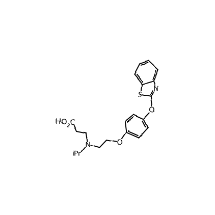 CC(C)N(CCOc1ccc(Oc2nc3ccccc3s2)cc1)CCC(=O)O